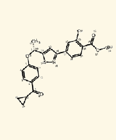 C[C@@H](Oc1ccc(C(=O)C2CC2)cc1)c1cc(-c2ccc(C(=O)OC(C)(C)C)c(F)c2)ns1